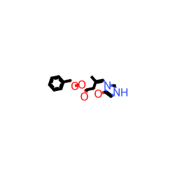 CC1=CN2CNC=C2OC1C(=O)OOCc1ccccc1